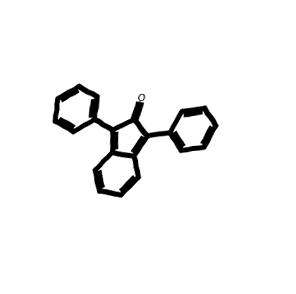 O=C1C(c2ccccc2)=c2ccccc2=C1c1ccccc1